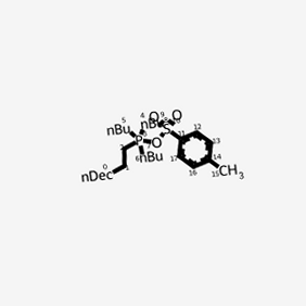 CCCCCCCCCCCCP(CCCC)(CCCC)(CCCC)OS(=O)(=O)c1ccc(C)cc1